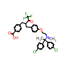 CN(CCOc1ccc(CC(Cc2ccc(C(=O)O)cc2)C(=O)C(F)(F)F)cc1)C(C)(c1ccc(Cl)cc1)c1ccc(Cl)cc1